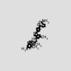 Cc1cc(C)c(S(=O)(=O)N[C@@H](C)CNc2cc(C)cc3c2cnn3-c2ccc(C(=O)N3CCCC3C(N)=O)cc2)c(C)c1